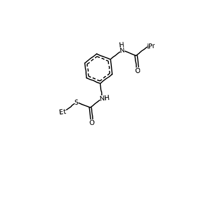 CCSC(=O)Nc1cccc(NC(=O)C(C)C)c1